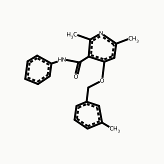 Cc1cccc(COc2cc(C)nc(C)c2C(=O)Nc2ccccc2)c1